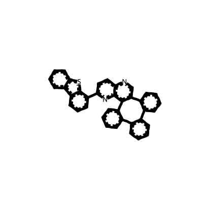 c1ccc2c(c1)-c1ccccc1-c1cnc3ccc(-c4cccc5c4sc4ccccc45)nc3c1-c1ccccc1-2